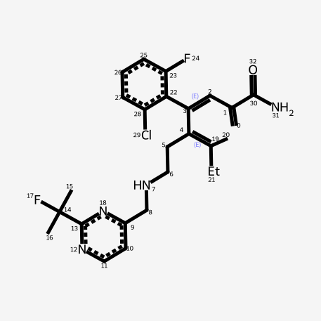 C=C(/C=C(\C(CCNCc1ccnc(C(C)(C)F)n1)=C(/C)CC)c1c(F)cccc1Cl)C(N)=O